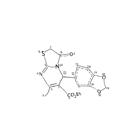 CCOC(=O)C1=C(C)N=C2SCC(=O)N2C1c1ccc2c(c1)OCO2